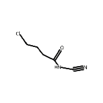 N#CNC(=O)CCCCl